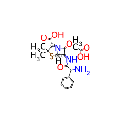 CC(=O)O.CC1(C)S[C@@H]2[C@H](NC(=O)C(N)c3ccccc3)C(=O)N2[C@H]1C(=O)O